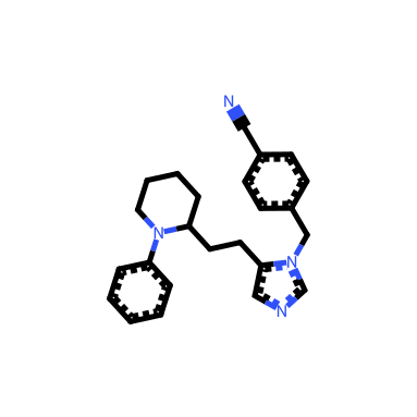 N#Cc1ccc(Cn2cncc2CCC2CCCCN2c2ccccc2)cc1